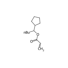 C=CC(=O)OC(CCCC)C1CCCC1